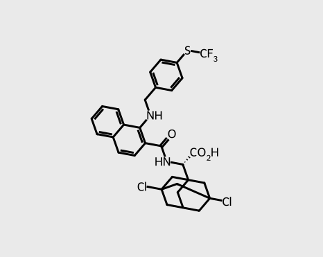 O=C(N[C@H](C(=O)O)C12CC3CC(Cl)(CC(Cl)(C3)C1)C2)c1ccc2ccccc2c1NCc1ccc(SC(F)(F)F)cc1